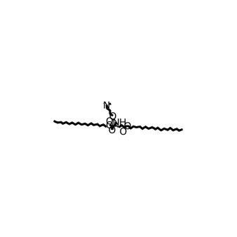 CCCCCCCCCCCCCCCCCCOC(=O)CC[C@H](NC(=O)OCCCN(C)C)C(=O)OCCCCCCCCCCCCCCCCCC